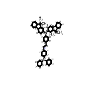 CC1(C)c2ccccc2-c2ccc(N(c3ccc(/C=C/c4ccc(N(c5ccccc5)c5ccccc5)cc4)cc3)c3ccc4c(c3)C(C)(C)c3ccccc3-4)cc21